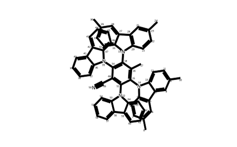 Cc1ccc2c(c1)c1cc(C)ccc1n2-c1c(C)c(-n2c3ccc(C)cc3c3cc(C)ccc32)c(-n2c3ccccc3c3ccccc32)c(C#N)c1-n1c2ccccc2c2ccccc21